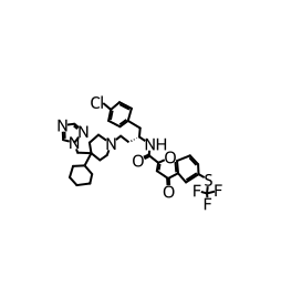 O=C(N[C@H](CCN1CCC(Cn2cncn2)(C2CCCCC2)CC1)Cc1ccc(Cl)cc1)c1cc(=O)c2cc(SC(F)(F)F)ccc2o1